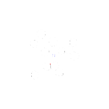 c1ccc(-c2cccc(-c3cc4c(cc3N(c3ccc5ccccc5c3)c3ccc5c6ccccc6c6ccccc6c5c3)C3(c5ccccc5-c5ccccc53)c3ccccc3-4)c2)cc1